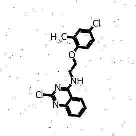 Cc1cc(Cl)ccc1OCCNc1nc(Cl)nc2ccccc12